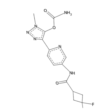 Cn1nnc(-c2ccc(NC(=O)C3CC(F)(F)C3)cn2)c1OC(N)=O